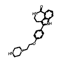 O=C1NCCc2c(-c3ccc(OCCN4CCNCC4)cc3)[nH]c3cccc1c23